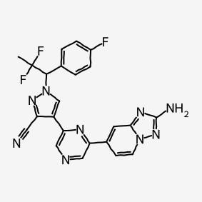 CC(F)(F)C(c1ccc(F)cc1)n1cc(-c2cncc(-c3ccn4nc(N)nc4c3)n2)c(C#N)n1